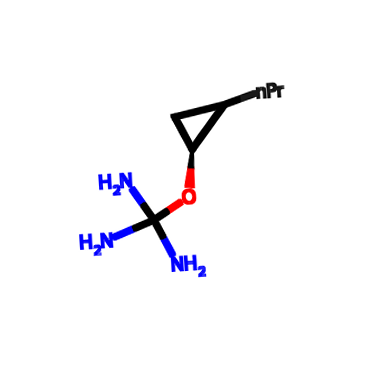 CCCC1C[C@@H]1OC(N)(N)N